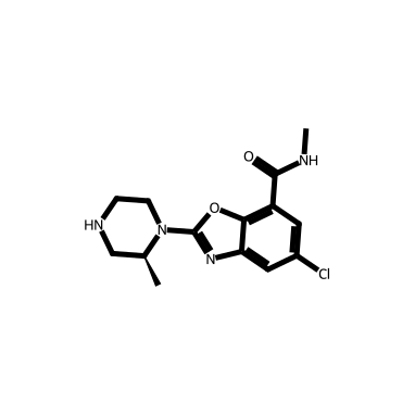 CNC(=O)c1cc(Cl)cc2nc(N3CCNC[C@@H]3C)oc12